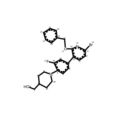 OCC1CCN(c2ccc(-c3ccc(Br)nc3OCc3ccccc3)cc2F)CC1